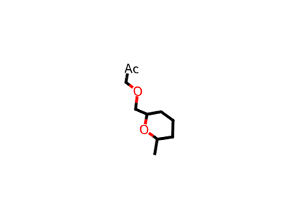 CC(=O)COCC1CCCC(C)O1